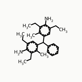 CCc1cc(C(c2ccccc2)c2cc(CC)c(N)c(CC)c2C)c(C)c(CC)c1N